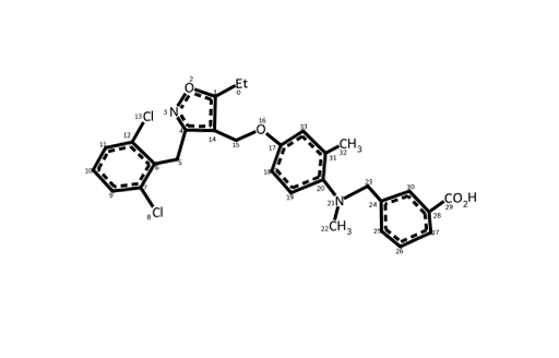 CCc1onc(Cc2c(Cl)cccc2Cl)c1COc1ccc(N(C)Cc2cccc(C(=O)O)c2)c(C)c1